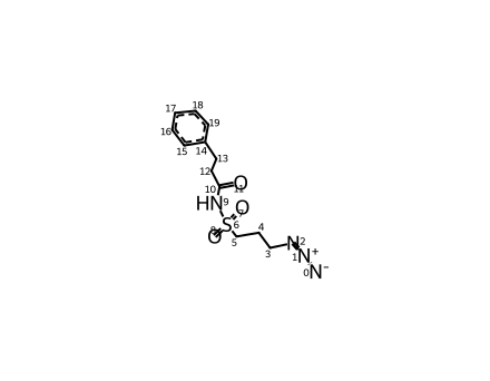 [N-]=[N+]=NCCCS(=O)(=O)NC(=O)CCc1ccccc1